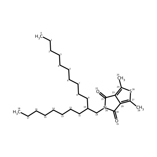 CCCCCCCCCCC(CCCCCCCC)CN1C(=O)c2c(C)sc(C)c2C1=O